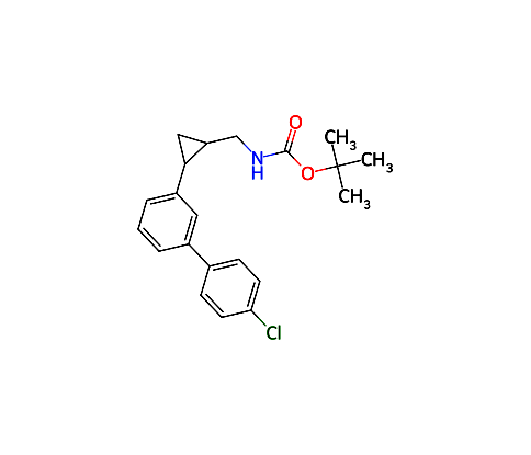 CC(C)(C)OC(=O)NCC1CC1c1cccc(-c2ccc(Cl)cc2)c1